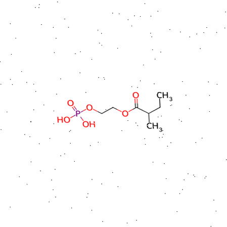 CCC(C)C(=O)OCCOP(=O)(O)O